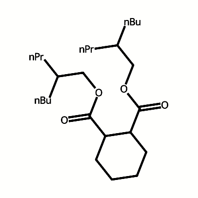 CCCCC(CCC)COC(=O)C1CCCCC1C(=O)OCC(CCC)CCCC